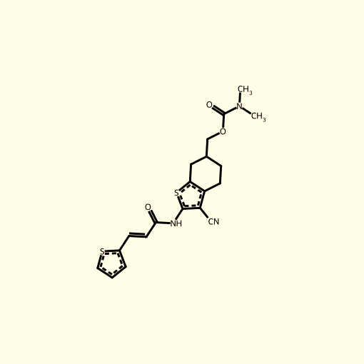 CN(C)C(=O)OCC1CCc2c(sc(NC(=O)C=Cc3cccs3)c2C#N)C1